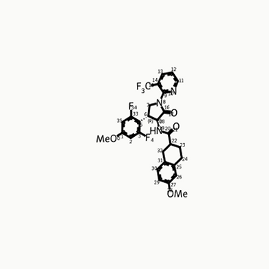 COc1cc(F)c([C@@H]2CN(c3ncccc3C(F)(F)F)C(=O)[C@H]2NC(=O)C2CCc3cc(OC)ccc3C2)c(F)c1